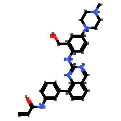 C=CC(=O)Nc1cccc(-c2cccc3cnc(Nc4ccc(N5CCN(C)CC5)cc4CO)nc23)c1